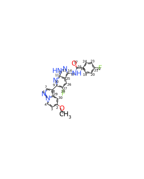 COc1ccn2ncc(-c3nc4[nH]nc(NC(=O)c5ccc(F)cc5)c4cc3F)c2c1